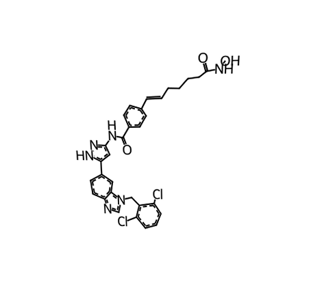 O=C(CCCCC=Cc1ccc(C(=O)Nc2cc(-c3ccc4ncn(Cc5c(Cl)cccc5Cl)c4c3)[nH]n2)cc1)NO